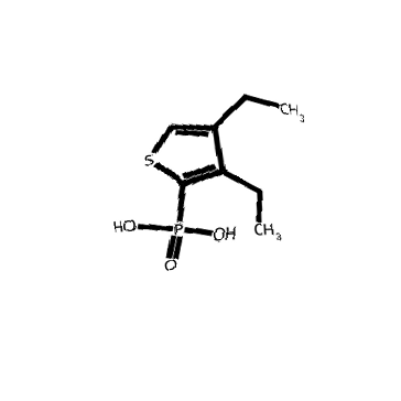 CCc1csc(P(=O)(O)O)c1CC